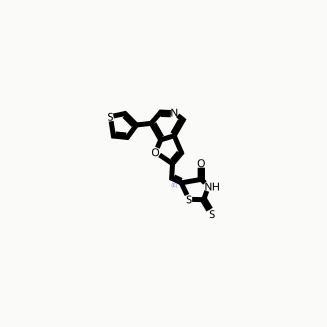 O=C1NC(=S)S/C1=C/c1cc2cncc(-c3ccsc3)c2o1